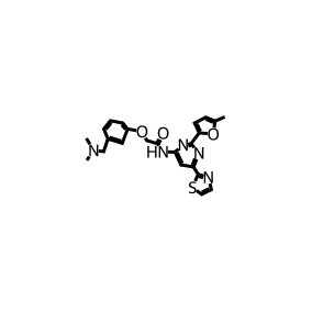 Cc1ccc(-c2nc(NC(=O)COc3cccc(CN(C)C)c3)cc(-c3nccs3)n2)o1